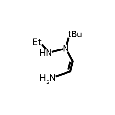 CCNN(/C=C\N)C(C)(C)C